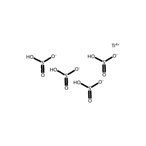 O=S([O-])O.O=S([O-])O.O=S([O-])O.O=S([O-])O.[Ti+4]